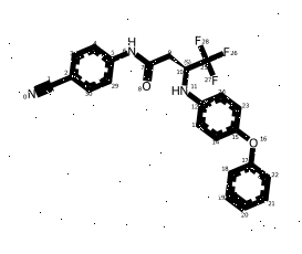 N#Cc1ccc(NC(=O)C[C@H](Nc2ccc(Oc3cc#ccc3)cc2)C(F)(F)F)cc1